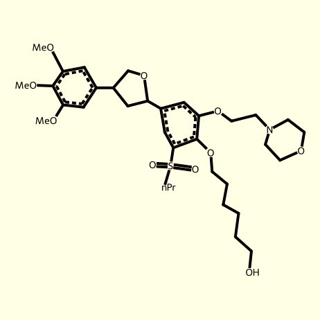 CCCS(=O)(=O)c1cc(C2CC(c3cc(OC)c(OC)c(OC)c3)CO2)cc(OCCN2CCOCC2)c1OCCCCCCO